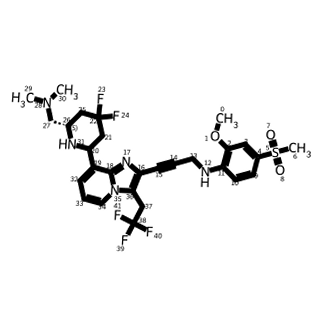 COc1cc(S(C)(=O)=O)ccc1NCC#Cc1nc2c(C3CC(F)(F)C[C@@H](CN(C)C)N3)cccn2c1CC(F)(F)F